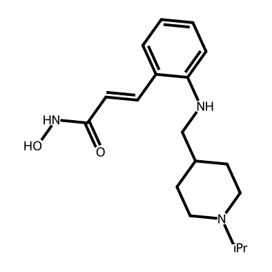 CC(C)N1CCC(CNc2ccccc2C=CC(=O)NO)CC1